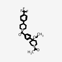 CCOC1(c2ccc(C(=O)N3CCC(c4ccc(C(F)(F)F)cc4)CC3)cc2)CCN(C(C)=O)CC1